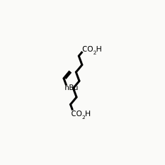 C=CCCCC.O=C(O)CCCCCCCC(=O)O